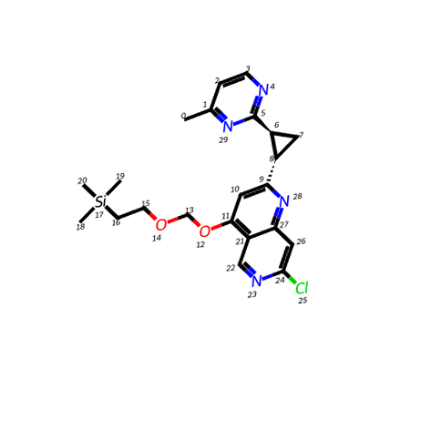 Cc1ccnc([C@H]2C[C@@H]2c2cc(OCOCC[Si](C)(C)C)c3cnc(Cl)cc3n2)n1